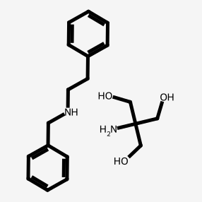 NC(CO)(CO)CO.c1ccc(CCNCc2ccccc2)cc1